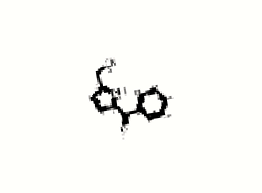 N#CCc1ccc(C(=O)c2ccccc2)[nH]1